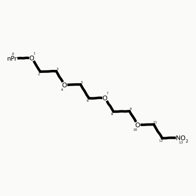 CCCOCCOCCOCCOCC[N+](=O)[O-]